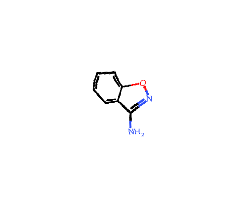 Nc1noc2ccccc12